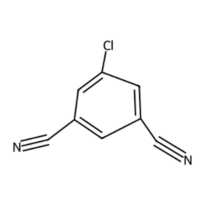 N#Cc1cc(Cl)cc(C#N)c1